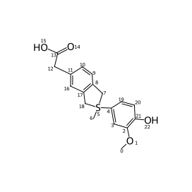 COc1cc(S2(C)Cc3ccc(CC(=O)O)cc3C2)ccc1O